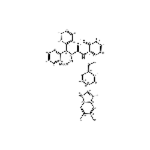 CON[C@H](C(=O)Nc1c(CC[C@@H]2CN[C@H](c3nc4cc(C)c(C)cc4[nH]3)CO2)cc[nH]c1=O)C(c1ccccc1)c1ccccc1